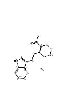 Cl.S=C(S)N1CCNCC1CCc1c[nH]c2ccccc12